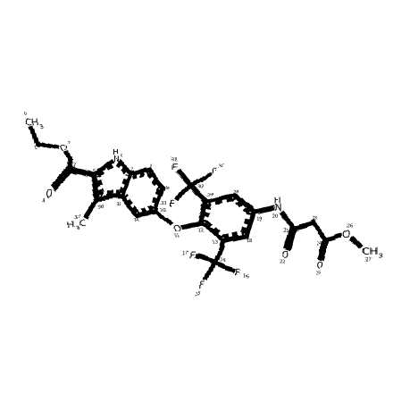 CCOC(=O)c1[nH]c2ccc(Oc3c(C(F)(F)F)cc(NC(=O)CC(=O)OC)cc3C(F)(F)F)cc2c1C